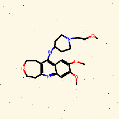 COCCN1CCC(Nc2c3c(nc4cc(OC)c(OC)cc24)CCOCC3)CC1